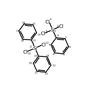 Cl[Si](Cl)(Cl)c1ccccc1.Cl[Si](Cl)(c1ccccc1)c1ccccc1